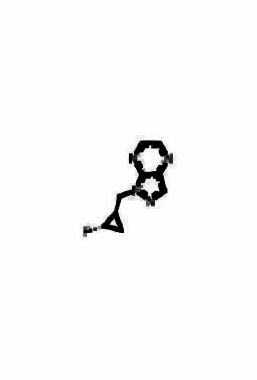 F[C@H]1C[C@@H]1Cn1ncc2nccnc21